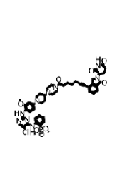 COc1cc(N2CCC(N3CCN(C(=O)CCCCC#Cc4cccc5c4CN(C4CCC(=O)NC4=O)C5=O)CC3)CC2)ccc1Nc1ncc(Cl)c(Nc2ccccc2P(=O)(OC)OC)n1